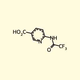 O=C(O)c1ccc(NC(=O)C(F)(F)F)nc1